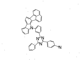 N#Cc1ccc(-c2nc(-c3ccccc3)nc(-c3cccc(-n4c5ccccc5c5ccc6c(c54)-c4cccc5cccc-6c45)c3)n2)cc1